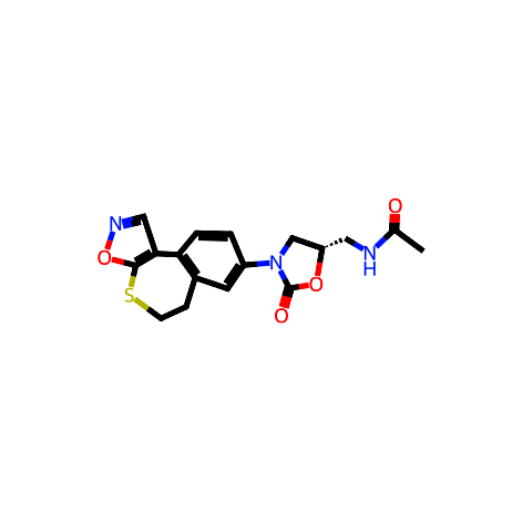 CC(=O)NC[C@H]1CN(c2ccc3c(c2)CCSc2oncc2-3)C(=O)O1